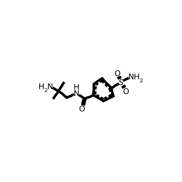 CC(C)(N)CNC(=O)c1ccc(S(N)(=O)=O)cc1